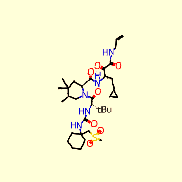 C=CCNC(=O)C(=O)C(CC1CC1)NC(=O)[C@@H]1CC(C)(C)C(C)CN1C(=O)[C@@H](NC(=O)NC1(CS(C)(=O)=O)CCCCC1)C(C)(C)C